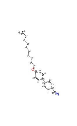 CCCCCC=CC=CCOc1ccc(-c2ccc(C#N)cc2)cc1